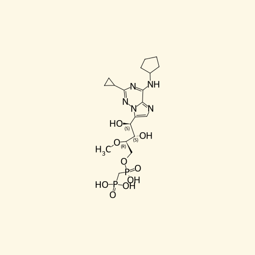 CO[C@H](COP(=O)(O)CP(=O)(O)O)[C@@H](O)[C@@H](O)c1cnc2c(NC3CCCC3)nc(C3CC3)nn12